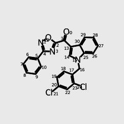 O=C(c1nc(-c2ccccc2)no1)c1cn(Cc2ccc(Cl)cc2Cl)c2ccccc12